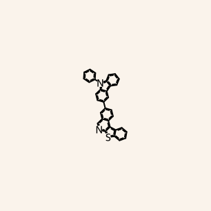 c1ccc(-n2c3ccccc3c3cc(-c4ccc5c(cnc6sc7ccccc7c65)c4)ccc32)cc1